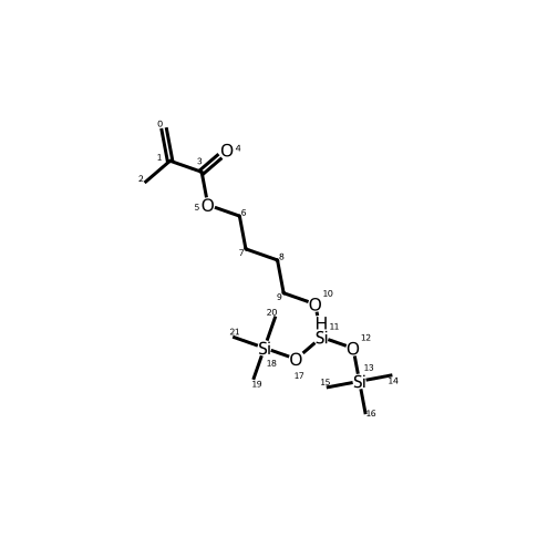 C=C(C)C(=O)OCCCCO[SiH](O[Si](C)(C)C)O[Si](C)(C)C